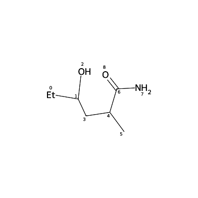 CCC(O)CC(C)C(N)=O